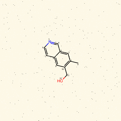 Cc1cc2cnccc2cc1CO